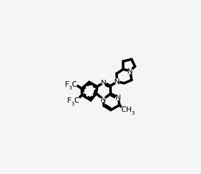 CC1C=CN2C(=N1)C(N1CCN3CCCC3C1)=Nc1cc(C(F)(F)F)c(C(F)(F)F)cc12